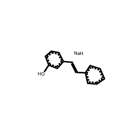 Oc1cccc(C=Cc2ccccc2)c1.[NaH]